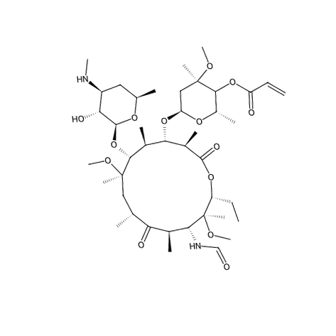 C=CC(=O)OC1[C@H](C)O[C@@H](O[C@H]2[C@H](C)[C@@H](O[C@@H]3O[C@H](C)C[C@H](NC)[C@H]3O)[C@](C)(OC)C[C@@H](C)C(=O)[C@H](C)[C@@H](NC=O)[C@](C)(OC)[C@@H](CC)OC(=O)[C@@H]2C)C[C@@]1(C)OC